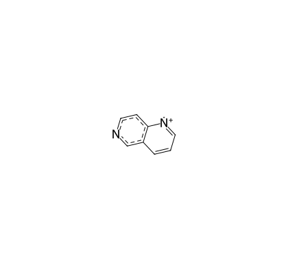 C1=Cc2cnccc2[N+]=C1